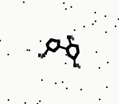 Nc1ccnc(-c2cc(N)ccc2N)c1